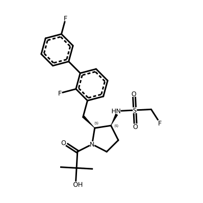 CC(C)(O)C(=O)N1CC[C@H](NS(=O)(=O)CF)[C@@H]1Cc1cccc(-c2cccc(F)c2)c1F